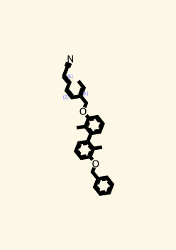 C\C=C(/C=C\C=C\C#N)COc1cccc(-c2cccc(OCc3ccccc3)c2C)c1C